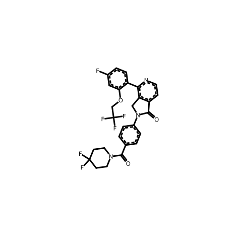 O=C(c1ccc(N2Cc3c(ccnc3-c3ccc(F)cc3OCC(F)(F)F)C2=O)cc1)N1CCC(F)(F)CC1